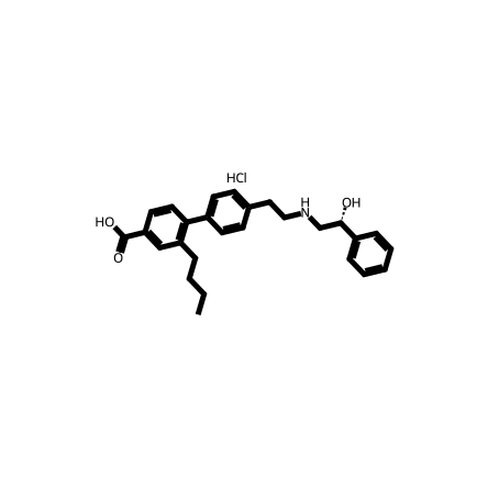 CCCCc1cc(C(=O)O)ccc1-c1ccc(CCNC[C@H](O)c2ccccc2)cc1.Cl